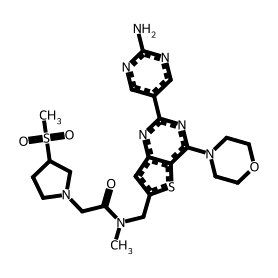 CN(Cc1cc2nc(-c3cnc(N)nc3)nc(N3CCOCC3)c2s1)C(=O)CN1CCC(S(C)(=O)=O)C1